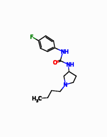 CCCCN1CCC(NC(=O)Nc2ccc(F)cc2)C1